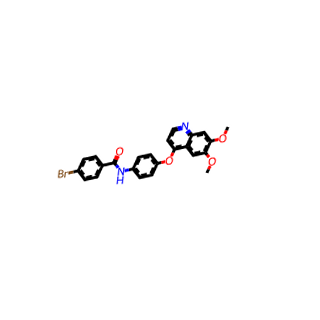 COc1cc2nccc(Oc3ccc(NC(=O)c4ccc(Br)cc4)cc3)c2cc1OC